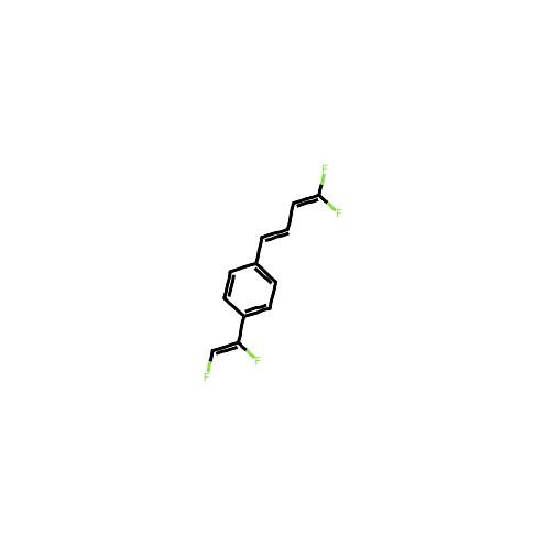 FC=C(F)c1ccc(C=CC=C(F)F)cc1